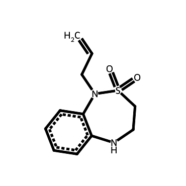 C=CCN1c2ccccc2NCCS1(=O)=O